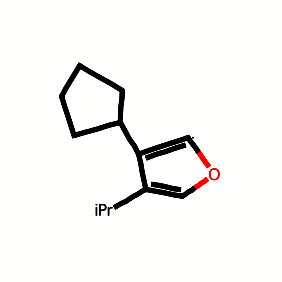 CC(C)c1co[c]c1C1CCCC1